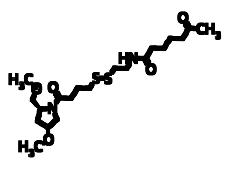 COC[C@@H]1C[C@@H](OC)CN1C(=O)CCCSSCCNC(=O)CCCCC(C)=O